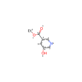 CCOC(=O)c1cncc(O)c1